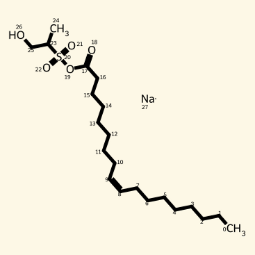 CCCCCCCC/C=C\CCCCCCCC(=O)OS(=O)(=O)C(C)CO.[Na]